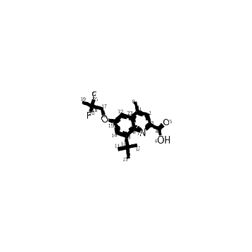 Cc1cc(C(=O)O)nc2c(C(C)(C)C)cc(OCC(C)(F)F)cc12